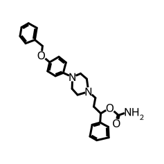 NC(=O)OC(CCN1CCN(c2ccc(OCc3ccccc3)cc2)CC1)c1ccccc1